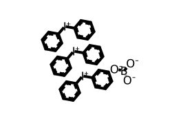 [O-]B([O-])[O-].c1ccc([I+]c2ccccc2)cc1.c1ccc([I+]c2ccccc2)cc1.c1ccc([I+]c2ccccc2)cc1